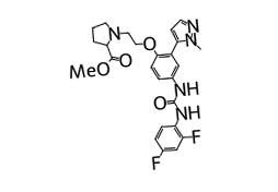 COC(=O)C1CCCN1CCOc1ccc(NC(=O)Nc2ccc(F)cc2F)cc1-c1ccnn1C